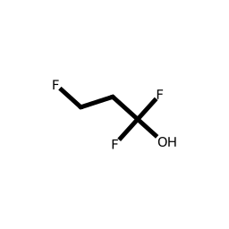 OC(F)(F)CCF